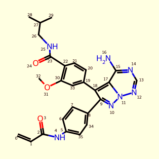 C=CC(=O)Nc1ccc(-c2nn3ncnc(N)c3c2-c2ccc(C(=O)NCC(C)C)c(OC)c2)cc1